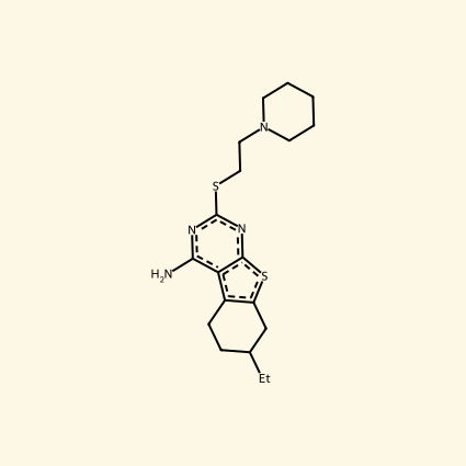 CCC1CCc2c(sc3nc(SCCN4CCCCC4)nc(N)c23)C1